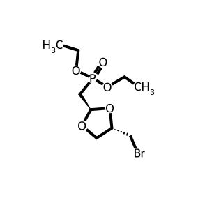 CCOP(=O)(C[C@@H]1OC[C@@H](CBr)O1)OCC